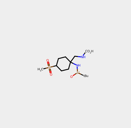 CC(C)(C)[S+]([O-])NC1(CNC(=O)O)CCC(S(C)(=O)=O)CC1